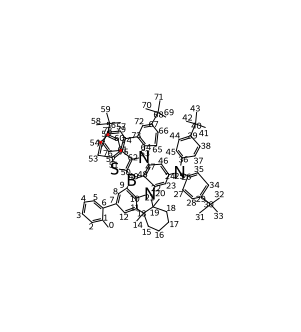 Cc1ccccc1-c1cc2c3c(c1)C1(C)CCCCC1(C)N3c1cc(N(c3ccc(C(C)(C)C)cc3)c3ccc(C(C)(C)C)cc3)cc3c1B2c1sc2ccc(C(C)(C)C)cc2c1N3c1ccc(C(C)(C)C)cc1-c1ccccc1